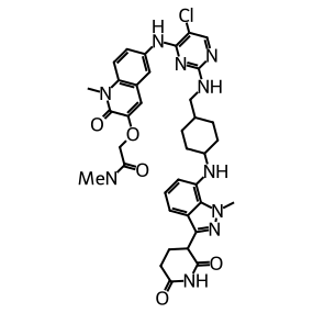 CNC(=O)COc1cc2cc(Nc3nc(NCC4CCC(Nc5cccc6c(C7CCC(=O)NC7=O)nn(C)c56)CC4)ncc3Cl)ccc2n(C)c1=O